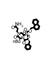 CCCC[C@H]1C(=O)N(CCC(N)=O)C[C@@H]2N(C(=O)OCc3cccc4ccccc34)O[C@@H](Cc3ccccc3)C(=O)N21